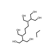 CCC.OCC(CO)N(CO)CCCN(CO)C(CO)CO